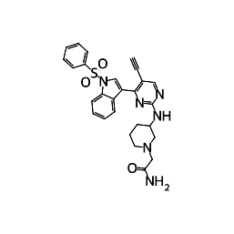 C#Cc1cnc(NC2CCCN(CC(N)=O)C2)nc1-c1cn(S(=O)(=O)c2ccccc2)c2ccccc12